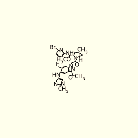 CC(=O)c1nn(CC(=O)N2[C@H](C(=O)Nc3nc(Br)ccc3C)C[C@@]3(C)C[C@@H]23)c2cc(CF)c(Nc3cnc(C)nc3)cc12